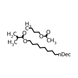 C=C(C)C(=O)OCCCCCCCCCCCCCCCCCC.CCCCOC(C)=O